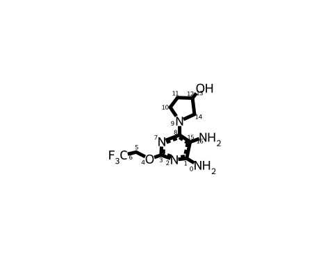 Nc1nc(OCC(F)(F)F)nc(N2CCC(O)C2)c1N